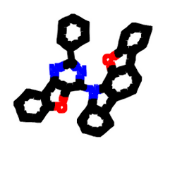 c1ccc(-c2nc(-n3c4ccccc4c4ccc5c6ccccc6oc5c43)c3oc4ccccc4c3n2)cc1